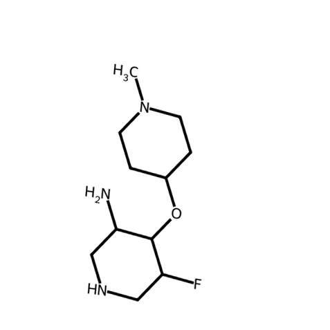 CN1CCC(OC2C(N)CNCC2F)CC1